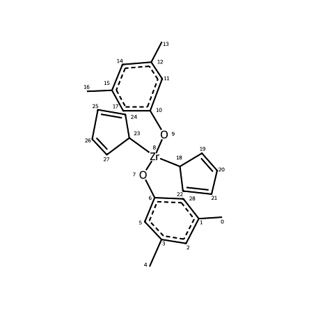 Cc1cc(C)cc([O][Zr]([O]c2cc(C)cc(C)c2)([CH]2C=CC=C2)[CH]2C=CC=C2)c1